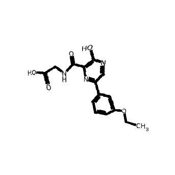 CCOc1cccc(-c2cnc(O)c(C(=O)NCC(=O)O)n2)c1